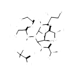 CCN(C(=O)[C@H](N)C(C)C)[C@](N(C)C(=O)[C@H](N)CC(C)C)(N(C)C(=O)[C@@H](C)N)N(N(C)C(=O)[C@@H](C)N)[C@@](C(=O)O)(C(N)C(C)C)N(C)C(=O)[C@H](N)C(C)C.O=C(O)C(F)(F)F